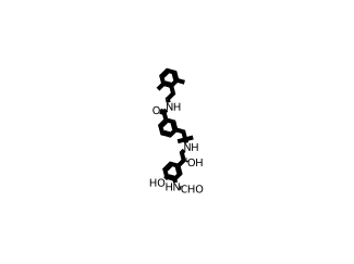 Cc1cccc(C)c1CCNC(=O)c1cccc(CC(C)(C)NC[C@H](O)c2ccc(O)c(NC=O)c2)c1